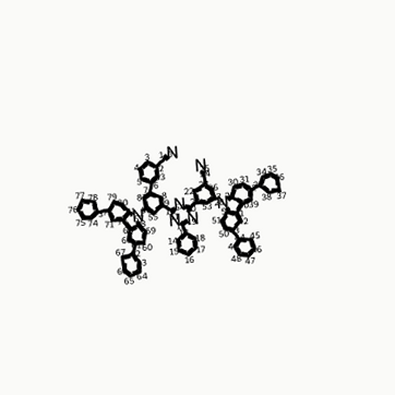 N#Cc1cccc(-c2cc(-c3nc(-c4ccccc4)nc(-c4cc(C#N)cc(-n5c6ccc(-c7ccccc7)cc6c6cc(-c7ccccc7)ccc65)c4)n3)cc(-n3c4ccc(-c5ccccc5)cc4c4cc(-c5ccccc5)ccc43)c2)c1